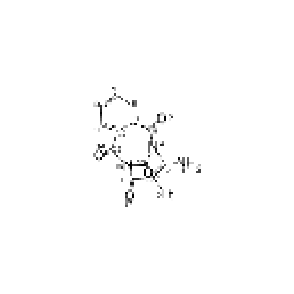 CCc1c(N)n2c(=O)c3ccccc3c(=O)n(c1=O)c2=O